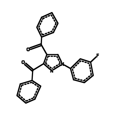 O=C(c1ccccc1)c1cn(-c2cccc(F)c2)nc1C(=O)c1ccccc1